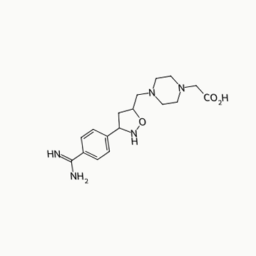 N=C(N)c1ccc(C2CC(CN3CCN(CC(=O)O)CC3)ON2)cc1